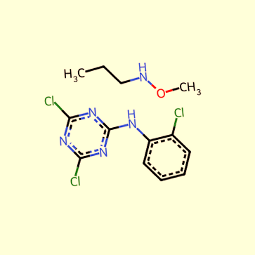 CCCNOC.Clc1nc(Cl)nc(Nc2ccccc2Cl)n1